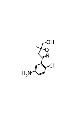 CC1(CO)CC(c2cc(N)ccc2Cl)=NO1